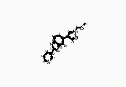 CSCn1cc(-c2ccc3nc(-c4cccnc4)sc3c2)cn1